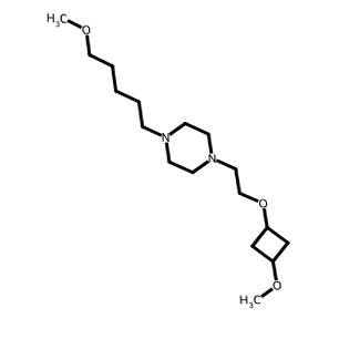 COCCCCCN1CCN(CCOC2CC(OC)C2)CC1